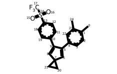 Cc1ccc(C2=CC3(C=C2c2ccc(S(=O)(=O)C(F)(F)F)cc2)CC3)cc1C